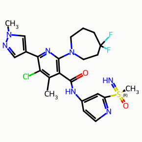 Cc1c(Cl)c(-c2cnn(C)c2)nc(N2CCCC(F)(F)CC2)c1C(=O)Nc1ccnc([S@](C)(=N)=O)c1